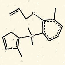 C=CCOc1c(C)cccc1[Si](C)(C)C1=C(C)C=CC1